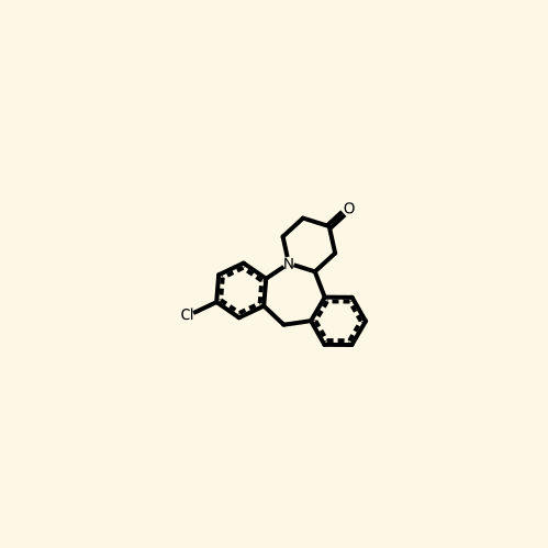 O=C1CCN2c3ccc(Cl)cc3Cc3ccccc3C2C1